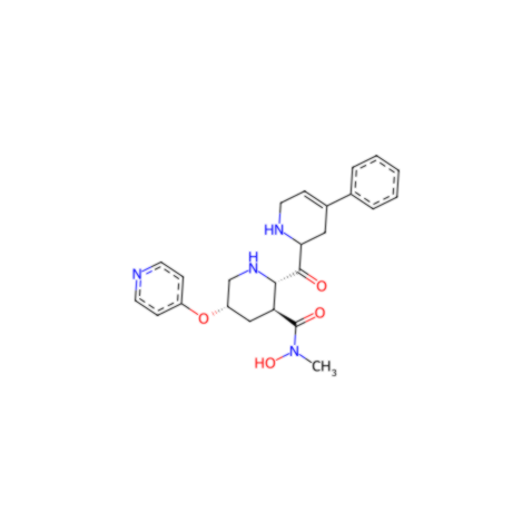 CN(O)C(=O)[C@H]1C[C@H](Oc2ccncc2)CN[C@@H]1C(=O)C1CC(c2ccccc2)=CCN1